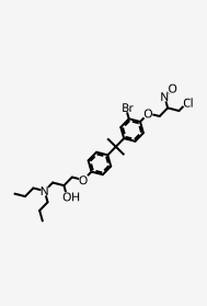 CCCN(CCC)CC(O)COc1ccc(C(C)(C)c2ccc(OCC(CCl)N=O)c(Br)c2)cc1